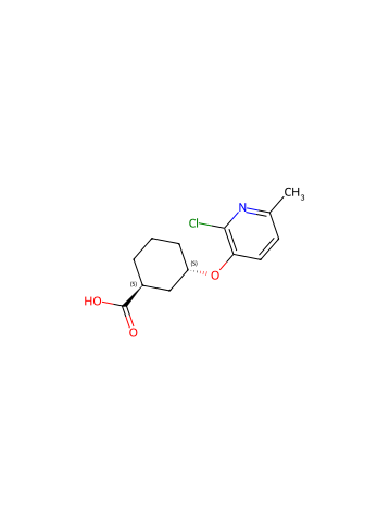 Cc1ccc(O[C@H]2CCC[C@H](C(=O)O)C2)c(Cl)n1